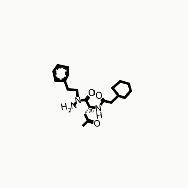 CC(=O)C[C@@H](NC(=O)CC1CCCCC1)C(=O)N(N)CCc1ccccc1